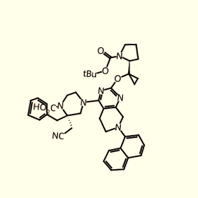 CC(C)(C)OC(=O)N1CCC[C@H]1C1(Oc2nc3c(c(N4CCN(C(=O)O)[C@](CC#N)(Cc5ccccc5)C4)n2)CCN(c2cccc4ccccc24)C3)CC1